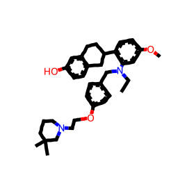 CCN(Cc1ccc(OCCN2CCCC(C)(C)C2)cc1)c1cc(OC)ccc1C1CCc2cc(O)ccc2C1